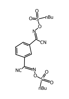 CCCCS(=O)(=O)ON=C(C#N)c1cccc(C(C#N)=NOS(=O)(=O)CCCC)c1